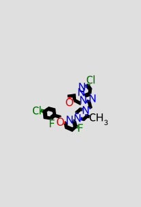 CC1CN(c2nc(OCc3ccc(Cl)cc3F)ccc2F)CCN1Cc1nc2cc(Cl)nnc2n1CC1CCO1